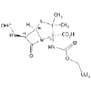 CC1(C)S[C@@H]2[C@H](NC=O)C(=O)N2[C@@]1(NC(=O)OCC(Cl)(Cl)Cl)C(=O)O